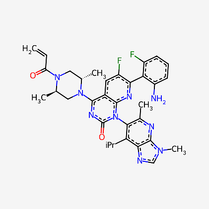 C=CC(=O)N1C[C@H](C)N(c2nc(=O)n(-c3c(C)nc4c(ncn4C)c3C(C)C)c3nc(-c4c(N)cccc4F)c(F)cc23)C[C@H]1C